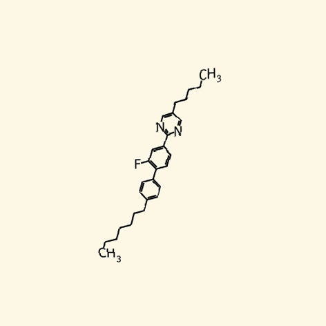 CCCCCCCc1ccc(-c2ccc(-c3ncc(CCCCC)cn3)cc2F)cc1